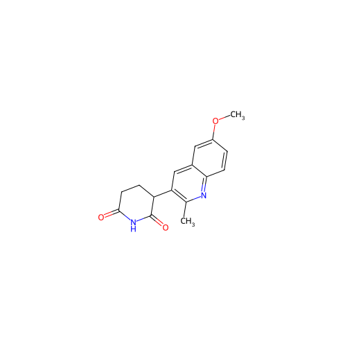 COc1ccc2nc(C)c(C3CCC(=O)NC3=O)cc2c1